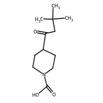 CC(C)(C)CC(=O)C1CCN(C(=O)O)CC1